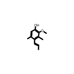 CC=Cc1c(C)cc(O)c(OC)c1C